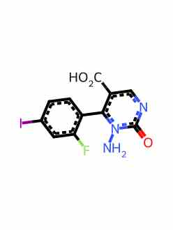 Nn1c(-c2ccc(I)cc2F)c(C(=O)O)cnc1=O